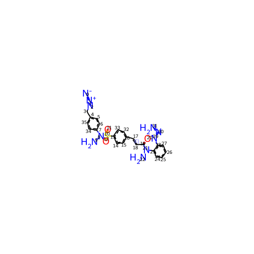 [N-]=[N+]=NCc1ccc(N(N)S(=O)(=O)c2ccc(/C=C/C(=O)N(N)c3ccccc3N=NN)cc2)cc1